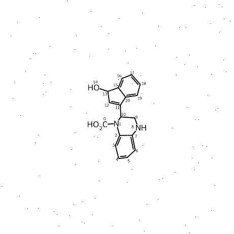 O=C(O)N1c2ccccc2NCC1C1=CC(O)c2ccccc21